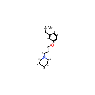 CNCc1cccc(OCCCN2CCCCC2)c1